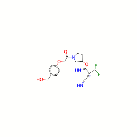 N=C/C=C(\C(=N)OC1CCN(C(=O)COc2ccc(CO)cc2)C1)C(F)F